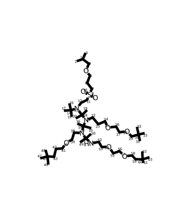 CC(C)COCCCS(=O)(=O)CCN(C(C)(C)C)C(C)(C)N(CCCOCCOCC(C)(C)C)C(C)(C)N(CCOCCCC(C)(C)C)C(C)(C)NCCOCCOCCC(C)(C)C